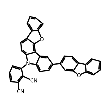 N#Cc1cccc(-n2c3ccc(-c4ccc5c(c4)oc4ccccc45)cc3c3c4oc5ccccc5c4ccc32)c1C#N